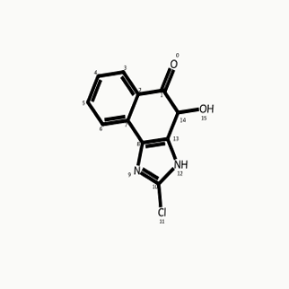 O=C1c2ccccc2-c2nc(Cl)[nH]c2C1O